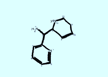 NC(c1ccccn1)C1CCCCN1